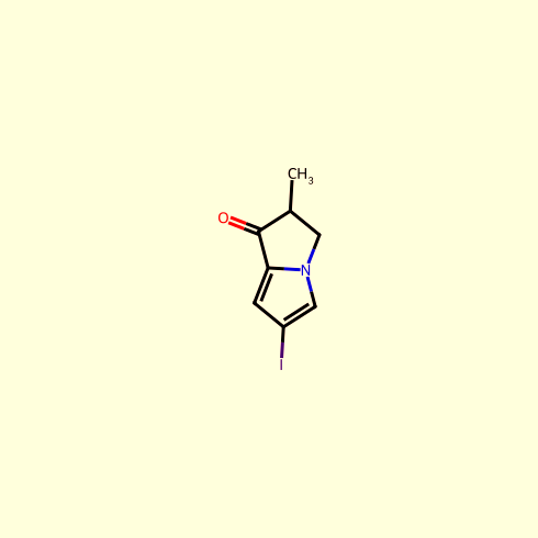 CC1Cn2cc(I)cc2C1=O